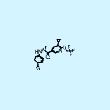 CN(Nc1ccc(C#N)cc1)C(=O)c1cnc(OCC(F)(F)F)c(C2CC2)c1